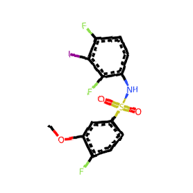 COc1cc(S(=O)(=O)Nc2ccc(F)c(I)c2F)ccc1F